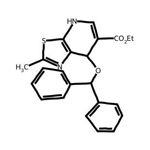 CCOC(=O)C1=CNc2sc(C)nc2C1OC(c1ccccc1)c1ccccc1